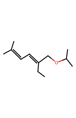 CC/C(=C\C=C(C)C)COC(C)C